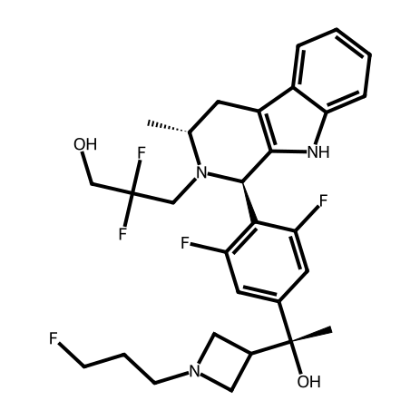 C[C@@H]1Cc2c([nH]c3ccccc23)[C@@H](c2c(F)cc([C@](C)(O)C3CN(CCCF)C3)cc2F)N1CC(F)(F)CO